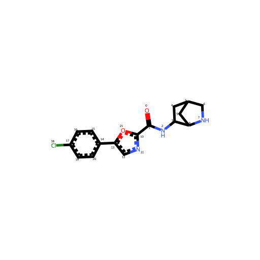 O=C(NC1CC2CNC1C2)c1ncc(-c2ccc(Cl)cc2)o1